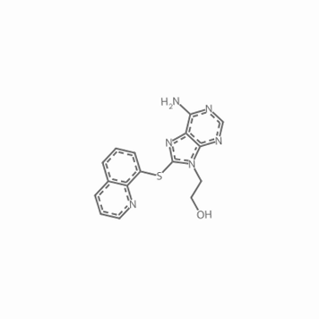 Nc1ncnc2c1nc(Sc1cccc3cccnc13)n2CCO